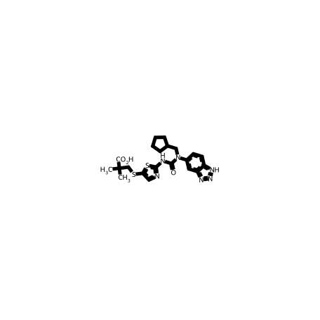 CC(C)(CSc1cnc(NC(=O)N(CC2CCCC2)c2ccc3[nH]nnc3c2)s1)C(=O)O